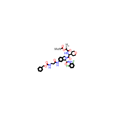 CNC(=O)OC(C)C(=O)NC(C(=O)N1Cc2ccc(NC(=O)CCNC(=O)OCc3ccccc3)cc2[C@H]1C(=O)Nc1c(F)cccc1F)C1CCOCC1